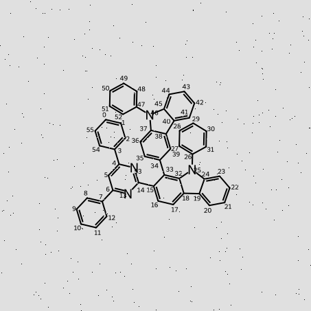 c1ccc(-c2cc(-c3ccccc3)nc(-c3ccc4c5ccccc5n(-c5ccccc5)c4c3-c3ccc4c(c3)c3ccccc3n4-c3ccccc3)n2)cc1